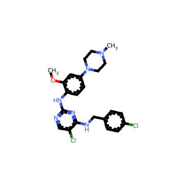 COc1cc(N2CCN(C)CC2)ccc1Nc1ncc(Cl)c(NCc2ccc(Cl)cc2)n1